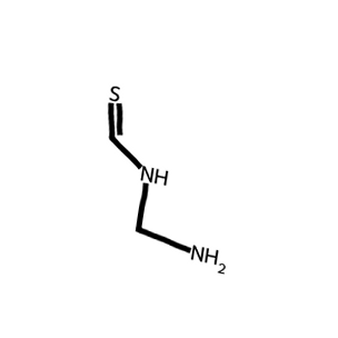 NCNC=S